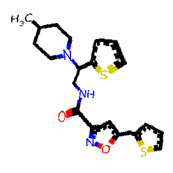 CC1CCN(C(CNC(=O)c2cc(-c3cccs3)on2)c2cccs2)CC1